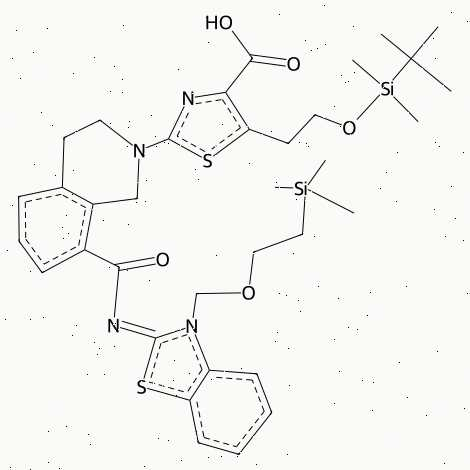 CC(C)(C)[Si](C)(C)OCCc1sc(N2CCc3cccc(C(=O)N=c4sc5ccccc5n4COCC[Si](C)(C)C)c3C2)nc1C(=O)O